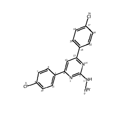 CCCNc1nc(-c2ccc(Cl)cc2)cc(-c2ccc(Cl)cc2)n1